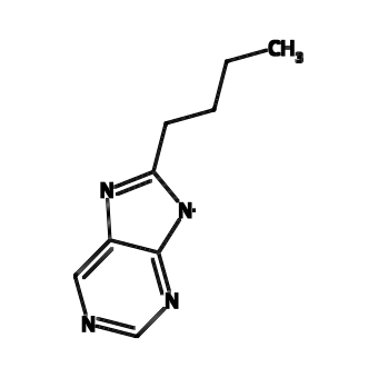 CCCCC1=Nc2cncnc2[N]1